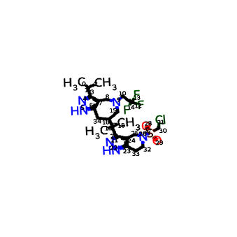 CC(C)c1n[nH]c2c1CN(CC(F)(F)F)CC(C(C)(C)c1n[nH]c3c1CN(S(=O)(=O)CCl)CC3)C2